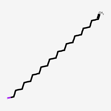 C=CCCCCCCCCCCCCCCCCCCCCI